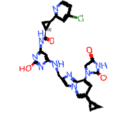 O=C1CN(c2cc(C3CC3)cn3cc(CNc4cc(NC(=O)[C@H]5CC5c5cc(Cl)ccn5)nc(O)n4)nc23)C(=O)N1